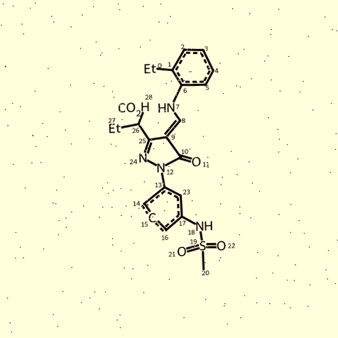 CCc1ccccc1NC=C1C(=O)N(c2cccc(NS(C)(=O)=O)c2)N=C1C(CC)C(=O)O